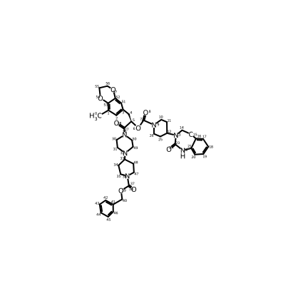 Cc1cc(C[C@@H](OC(=O)N2CCC(N3CCc4ccccc4NC3=O)CC2)C(=O)N2CCN(C3CCN(C(=O)OCc4ccccc4)CC3)CC2)cc2c1OCCO2